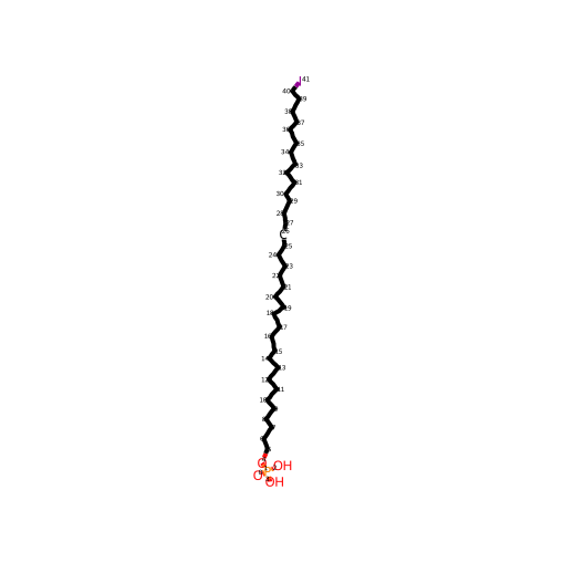 O=P(O)(O)OCCCCCCCCCCCCCCCCCCCCCCCCCCCCCCCCCCCCI